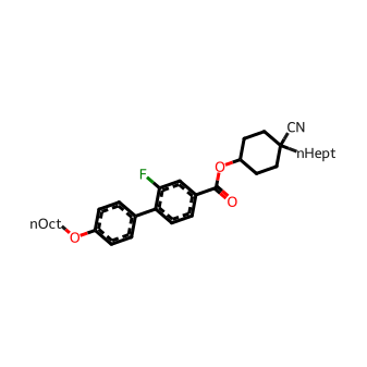 CCCCCCCCOc1ccc(-c2ccc(C(=O)OC3CCC(C#N)(CCCCCCC)CC3)cc2F)cc1